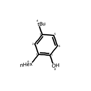 CCCCCCc1cc(C(C)(C)C)ccc1O